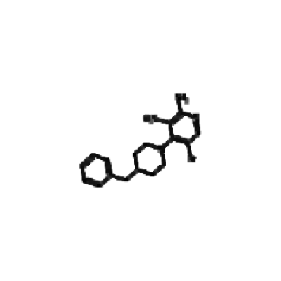 Nc1ncc(Br)c(N2CCC(Cc3ccccc3)CC2)c1[N+](=O)[O-]